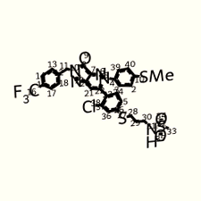 CSc1ccc(-n2nc3c(=O)n(Cc4ccc(C(F)(F)F)cc4)nc-3cc2-c2ccc(SCCCNS(C)(=O)=O)cc2Cl)cc1